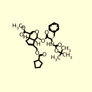 COC(=O)C1=CO[C@@H](OC(=O)[C@H](Cc2ccccc2)NC(=O)OC(C)(C)C)[C@@H]2C(COC(=O)C3CCCC3)=CC[C@H]12